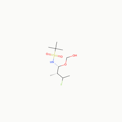 CC(F)[C@H](C)[C@H](NS(=O)(=O)C(C)(C)C)OCO